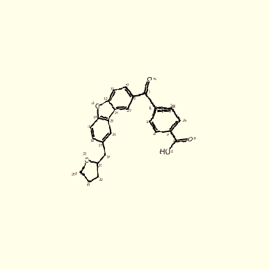 O=C(O)c1ccc(C(=O)c2ccc3oc4ccc(CC5CCCO5)cc4c3c2)cc1